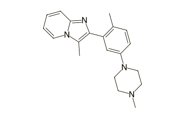 Cc1ccc(N2CCN(C)CC2)cc1-c1nc2ccccn2c1C